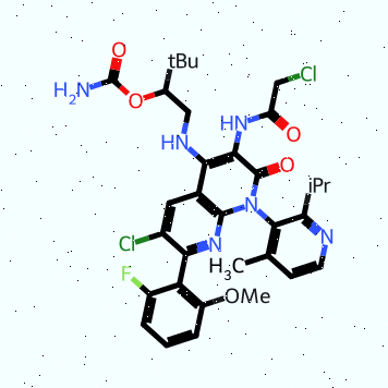 COc1cccc(F)c1-c1nc2c(cc1Cl)c(NCC(OC(N)=O)C(C)(C)C)c(NC(=O)CCl)c(=O)n2-c1c(C)ccnc1C(C)C